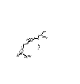 CC(C)P(CCNCCP(C(C)C)C(C)C)C(C)C.[Fe]